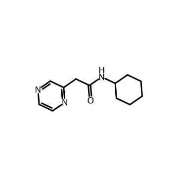 O=C(Cc1cnccn1)NC1CCCCC1